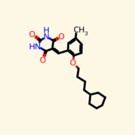 Cc1ccc(OCCCCC2CCCCC2)c(C=C2C(=O)NC(=O)NC2=O)c1